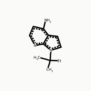 CCC(C)(C)n1ccc2c(N)ccnc21